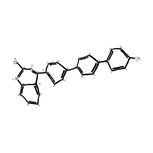 Cc1ccc(-c2ccc(-c3ccc(-c4nc(Cl)nc5ccccc45)cc3)cc2)cc1